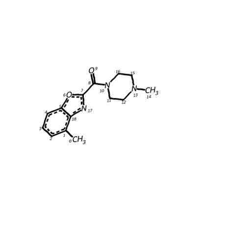 Cc1cccc2oc(C(=O)N3CCN(C)CC3)nc12